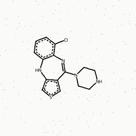 Clc1cccc2c1N=C(N1CCNCC1)c1cscc1N2